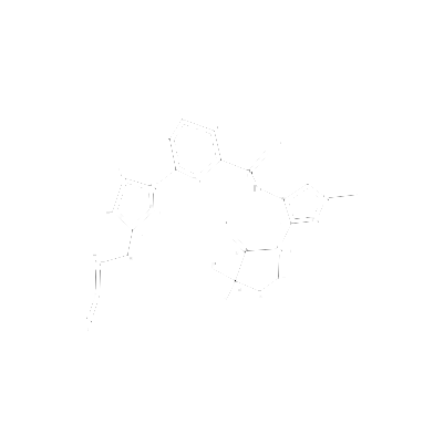 Cn1cc(NC(=O)c2cccc(-n3cc(CN=[N+]=[N-])cn3)n2)c(N2CCC(C)(C)C2=O)n1